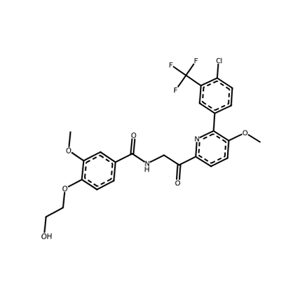 COc1cc(C(=O)NCC(=O)c2ccc(OC)c(-c3ccc(Cl)c(C(F)(F)F)c3)n2)ccc1OCCO